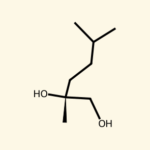 CC(C)CC[C@@](C)(O)CO